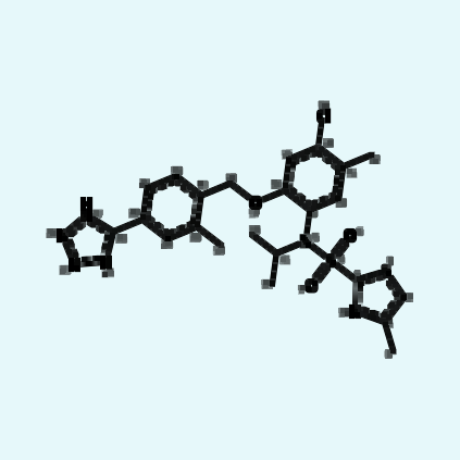 Cc1csc(S(=O)(=O)N(c2cc(C)c(Cl)cc2OCc2ccc(-c3nnn[nH]3)cc2C)C(C)C)n1